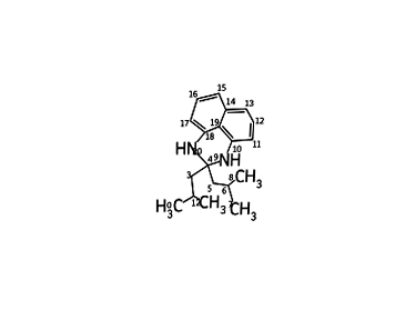 CC(C)CC1(CC(C)C)Nc2cccc3cccc(c23)N1